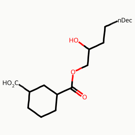 CCCCCCCCCCCCC(O)COC(=O)C1CCCC(C(=O)O)C1